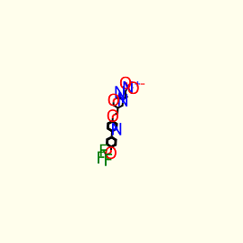 O=[N+]([O-])c1cn2c(n1)OCC(COc1ccc(-c3ccc(OC(F)(F)F)cc3)nc1)C2